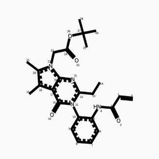 C=CC(=O)Nc1ccccc1-n1c(CC)nc2c(c(C)c(C)n2CC(=O)OC(C)(C)C)c1=O